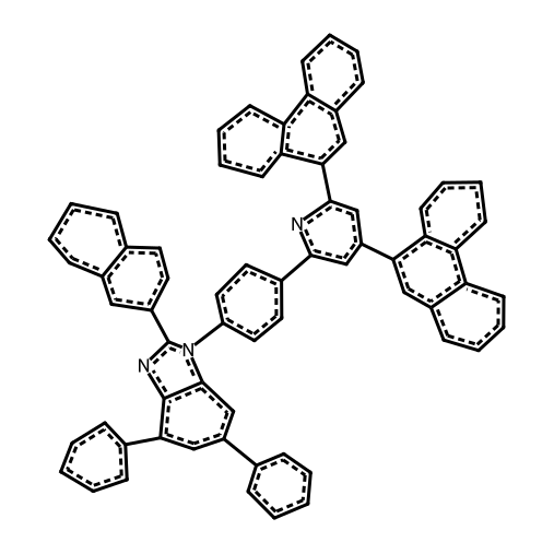 c1ccc(-c2cc(-c3ccccc3)c3nc(-c4ccc5ccccc5c4)n(-c4ccc(-c5cc(-c6cc7ccccc7c7ccccc67)cc(-c6cc7ccccc7c7ccccc67)n5)cc4)c3c2)cc1